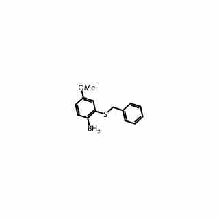 Bc1ccc(OC)cc1SCc1ccccc1